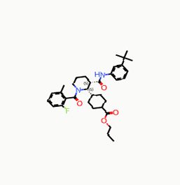 CCCOC(=O)C1CCC([C@H]2[C@@H](C(=O)Nc3cccc(C(C)(C)C)c3)CCCN2C(=O)c2c(C)cccc2F)CC1